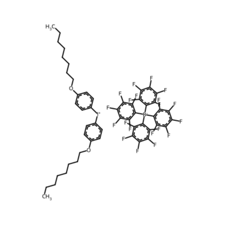 CCCCCCCCOc1ccc([I+]c2ccc(OCCCCCCCC)cc2)cc1.Fc1c(F)c(F)c([B-](c2c(F)c(F)c(F)c(F)c2F)(c2c(F)c(F)c(F)c(F)c2F)c2c(F)c(F)c(F)c(F)c2F)c(F)c1F